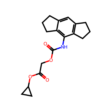 O=C(COC(=O)Nc1c2c(cc3c1CCC3)CCC2)OC1CC1